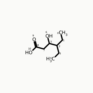 CCC(CC)C(O)CC(=O)O